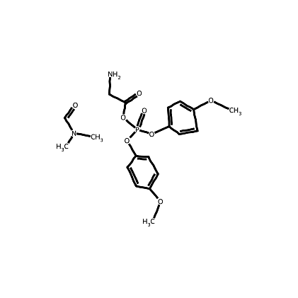 CN(C)C=O.COc1ccc(OP(=O)(OC(=O)CN)Oc2ccc(OC)cc2)cc1